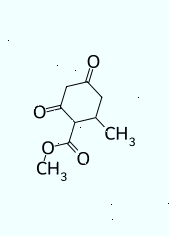 COC(=O)C1C(=O)CC(=O)CC1C